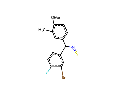 COc1ccc(C(N=S)c2ccc(F)c(Br)c2)cc1C